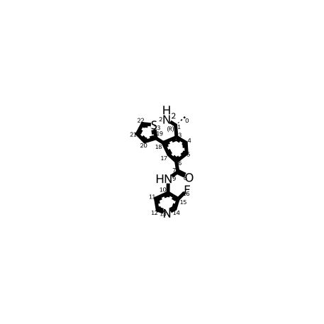 C[C@@H](N)c1ccc(C(=O)Nc2ccncc2F)cc1-c1cccs1